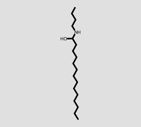 CCCCCCCCCCCCCC(O)NCCCC